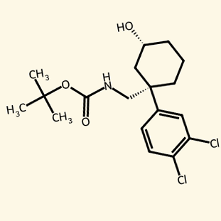 CC(C)(C)OC(=O)NC[C@@]1(c2ccc(Cl)c(Cl)c2)CCC[C@@H](O)C1